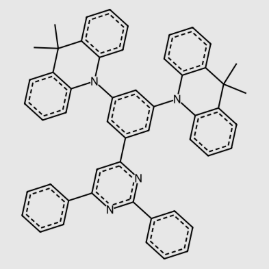 CC1(C)c2ccccc2N(c2cc(-c3cc(-c4ccccc4)nc(-c4ccccc4)n3)cc(N3c4ccccc4C(C)(C)c4ccccc43)c2)c2ccccc21